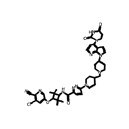 CC1(C)C(NC(=O)c2ccc(N3CCC(CN4CCC(n5ccc6c(N7CCC(=O)NC7=O)ccnc65)CC4)CC3)nn2)C(C)(C)C1Oc1cnc(C#N)c(Cl)c1